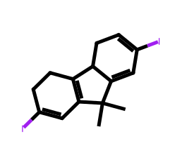 CC1(C)C2=CC(I)=CCC2C2=C1C=C(I)CC2